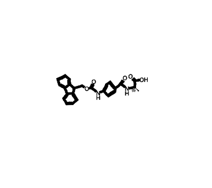 C[C@H](NC(=O)c1ccc(NC(=O)OCC2c3ccccc3-c3ccccc32)cc1)C(=O)O